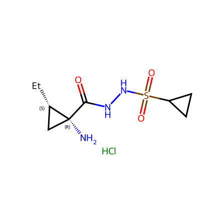 CC[C@H]1C[C@]1(N)C(=O)NNS(=O)(=O)C1CC1.Cl